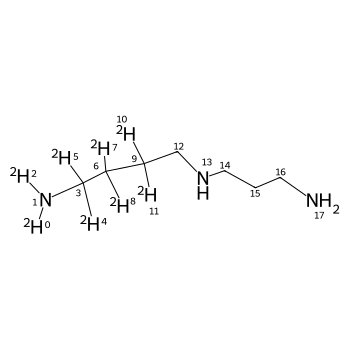 [2H]N([2H])C([2H])([2H])C([2H])([2H])C([2H])([2H])CNCCCN